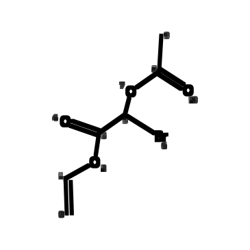 C=COC(=O)C(Br)OC(C)=O